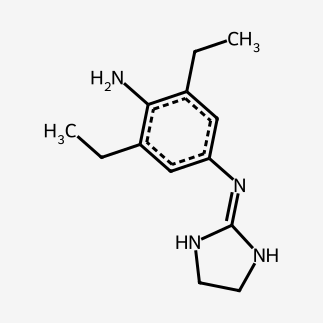 CCc1cc(N=C2NCCN2)cc(CC)c1N